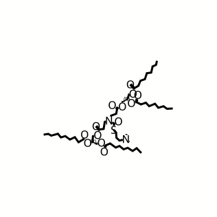 CCCCCCCCCC(=O)O[C@H](COC(=O)CCCCCCCC)COC(=O)CCN(CCC(=O)OC[C@@H](COC(=O)CCCCCCCC)OC(=O)CCCCCCCC)C(=O)SCCCN(C)C